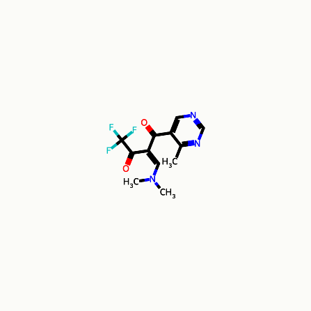 Cc1ncncc1C(=O)/C(=C/N(C)C)C(=O)C(F)(F)F